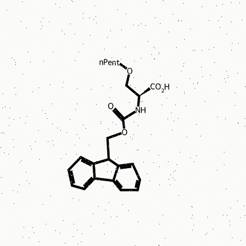 CCCCCOC[C@H](NC(=O)OCC1c2ccccc2-c2ccccc21)C(=O)O